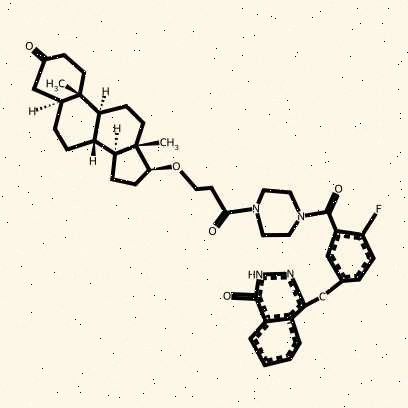 C[C@]12CCC(=O)C[C@@H]1CC[C@@H]1[C@@H]2CC[C@]2(C)[C@@H](OCCC(=O)N3CCN(C(=O)c4cc(Cc5n[nH]c(=O)c6ccccc56)ccc4F)CC3)CC[C@@H]12